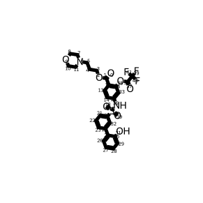 O=C(OCCCN1CCOCC1)c1ccc(NS(=O)(=O)c2cccc(-c3ccccc3O)c2)cc1OC(=O)C(F)(F)F